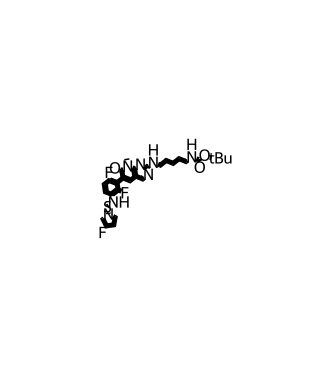 Cn1c(=O)c(-c2c(F)ccc(NSN3CC[C@@H](F)C3)c2F)cc2cnc(NCCCCCNC(=O)OC(C)(C)C)nc21